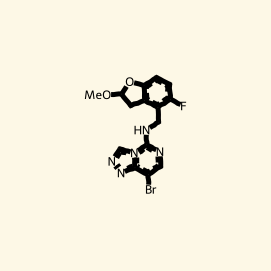 COC1Cc2c(ccc(F)c2CNc2ncc(Br)c3nncn23)O1